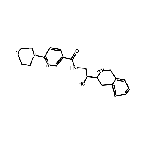 O=C(NCC(O)[C@@H]1Cc2ccccc2CN1)c1ccc(N2CCOCC2)nc1